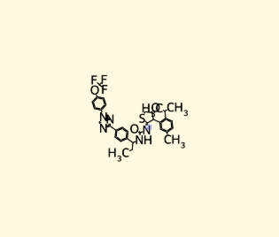 CCC(NC(=O)/N=C1\SCC(=O)C1c1cc(C)ccc1C(C)C)c1ccc(-c2ncn(-c3ccc(OC(F)(F)F)cc3)n2)cc1